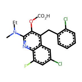 CCN(C)c1nc2c(F)cc(Cl)cc2c(Cc2ccccc2Cl)c1OC(=O)O